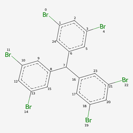 Brc1cc(Br)cc(C(c2cc(Br)cc(Br)c2)c2cc(Br)cc(Br)c2)c1